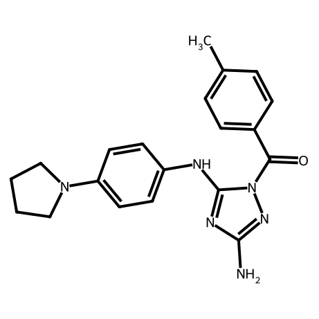 Cc1ccc(C(=O)n2nc(N)nc2Nc2ccc(N3CCCC3)cc2)cc1